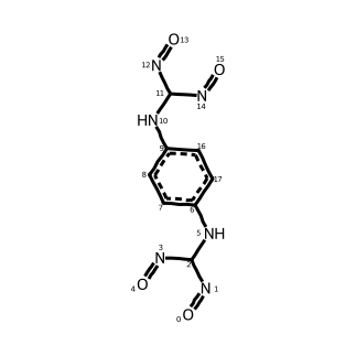 O=NC(N=O)Nc1ccc(NC(N=O)N=O)cc1